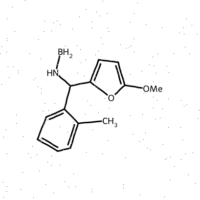 BNC(c1ccc(OC)o1)c1ccccc1C